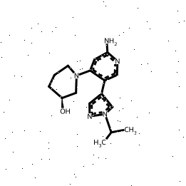 CC(C)n1cc(-c2cnc(N)cc2N2CCC[C@H](O)C2)cn1